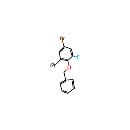 CC(C)c1cc(Br)cc(F)c1OCc1ccccc1